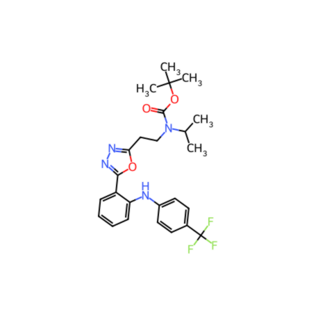 CC(C)N(CCc1nnc(-c2ccccc2Nc2ccc(C(F)(F)F)cc2)o1)C(=O)OC(C)(C)C